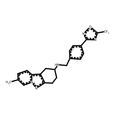 Cc1ccc2c3c(nn2c1)CCC(NCc1ccc(-c2noc(C(F)(F)F)n2)cc1)C3